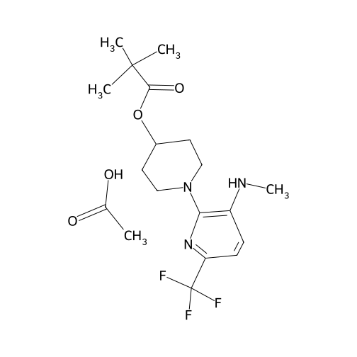 CC(=O)O.CNc1ccc(C(F)(F)F)nc1N1CCC(OC(=O)C(C)(C)C)CC1